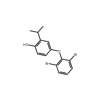 CC(C)c1cc(Oc2c(Br)cccc2Br)ccc1O